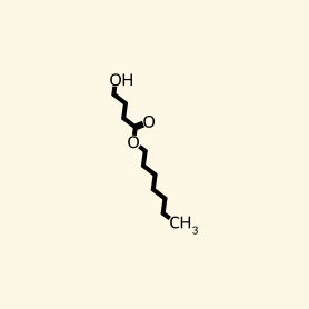 CCCCCCCOC(=O)CCCO